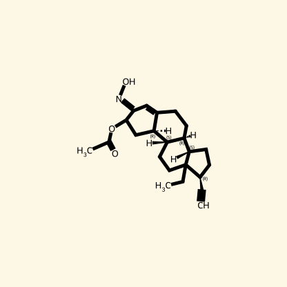 C#C[C@@H]1CC[C@H]2[C@@H]3CCC4=CC(=NO)C(OC(C)=O)C[C@@H]4[C@H]3CCC12CC